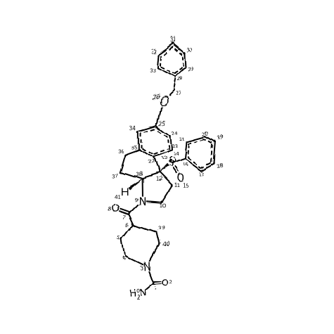 NC(=O)N1CCC(C(=O)N2CC[C@@]3(S(=O)(=O)c4ccccc4)c4ccc(OCc5ccccc5)cc4CC[C@@H]23)CC1